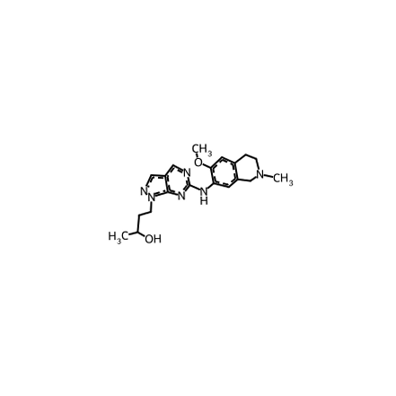 COc1cc2c(cc1Nc1ncc3cnn(CCC(C)O)c3n1)CN(C)CC2